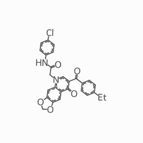 CCc1ccc(C(=O)c2cn(CC(=O)Nc3ccc(Cl)cc3)c3cc4c(cc3c2=O)OCO4)cc1